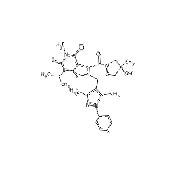 Cc1nn(-c2ccncc2)c(C)c1Cc1sc2c(c1C(=O)N1CC(C)(O)CO1)c(=O)n(C)c(=O)n2C(C)C